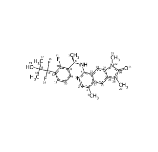 Cc1nnc(N[C@H](C)c2cccc(C(F)(F)C(C)(C)O)c2F)c2cc3c(cc12)n(C)c(=O)n3C